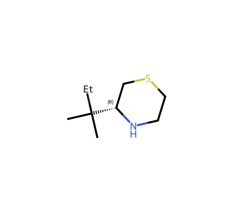 CCC(C)(C)[C@@H]1CSCCN1